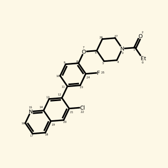 CCC(=O)N1CCC(Oc2ccc(-c3cc4ncccc4cc3Cl)cc2F)CC1